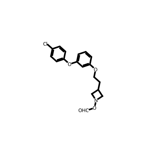 O=CON1CC(CCOc2cccc(Oc3ccc(Cl)cc3)c2)C1